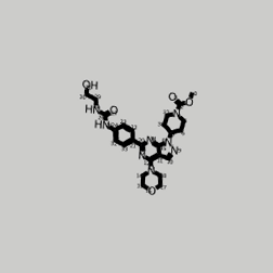 COC(=O)N1CCC(n2ncc3c(N4CCOCC4)nc(-c4ccc(NC(=O)NCCO)cc4)nc32)CC1